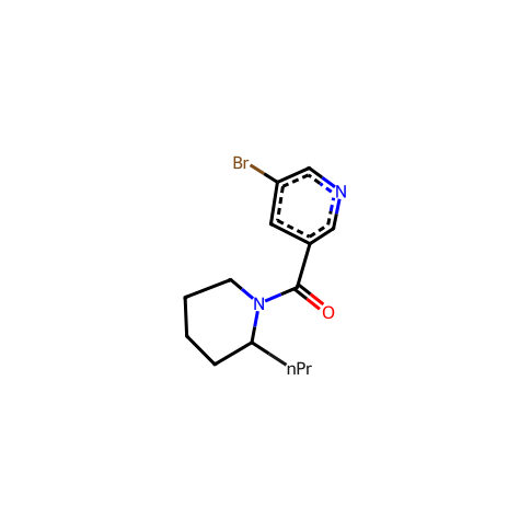 CCCC1CCCCN1C(=O)c1cncc(Br)c1